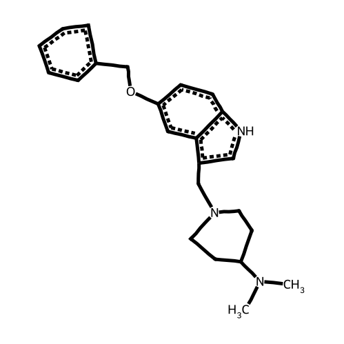 CN(C)C1CCN(Cc2c[nH]c3ccc(OCc4ccccc4)cc23)CC1